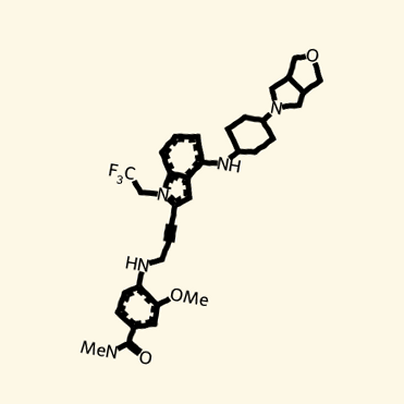 CNC(=O)c1ccc(NCC#Cc2cc3c(NC4CCC(N5CC6COCC6C5)CC4)cccc3n2CC(F)(F)F)c(OC)c1